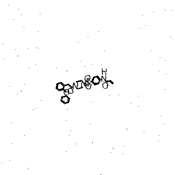 C=CC(=O)Nc1ccc(S(=O)(=O)N2CCN(C(=O)Cc3ccccc3Oc3ccccc3)CC2)cc1